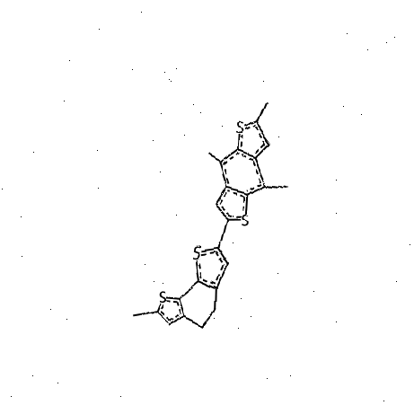 Cc1cc2c(s1)-c1sc(-c3cc4c(C)c5sc(C)cc5c(C)c4s3)cc1CC2